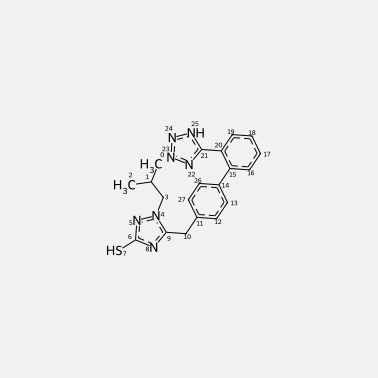 CC(C)Cn1nc(S)nc1Cc1ccc(-c2ccccc2-c2nnn[nH]2)cc1